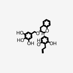 C=CCc1c(O)cc([C@H]2Oc3ccccc3C[C@H]2OCc2cc(O)c(O)c(O)c2)cc1O